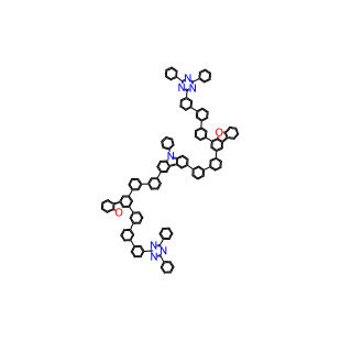 c1ccc(-c2nc(-c3ccccc3)nc(-c3cccc(-c4cccc(-c5cccc(-c6cc(-c7cccc(-c8cccc(-c9ccc%10c(c9)c9cc(-c%11cccc(-c%12cccc(-c%13cc(-c%14cccc(-c%15cccc(-c%16cccc(-c%17nc(-c%18ccccc%18)nc(-c%18ccccc%18)n%17)c%16)c%15)c%14)c%14oc%15ccccc%15c%14c%13)c%12)c%11)ccc9n%10-c9ccccc9)c8)c7)cc7c6oc6ccccc67)c5)c4)c3)n2)cc1